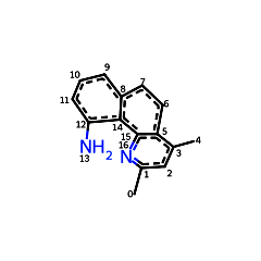 Cc1cc(C)c2ccc3cccc(N)c3c2n1